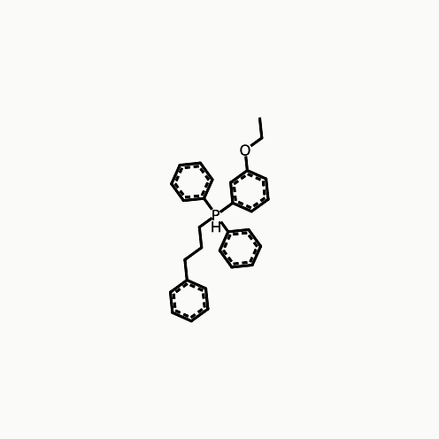 CCOc1cccc([PH](CCCc2ccccc2)(c2ccccc2)c2ccccc2)c1